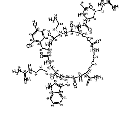 C=C(N)[C@@H]1CCCNC(=O)CC[C@H](NC(=O)[C@H](CCCNC(=N)N)NC(C)=O)C(=O)N[C@@H](CCN)C(=O)N[C@H](Cc2ccc(Cl)cc2Cl)C(=O)N[C@@H](CCCNC(=N)N)C(=O)N[C@@H](Cc2c[nH]c3ccccc23)C(=O)N1